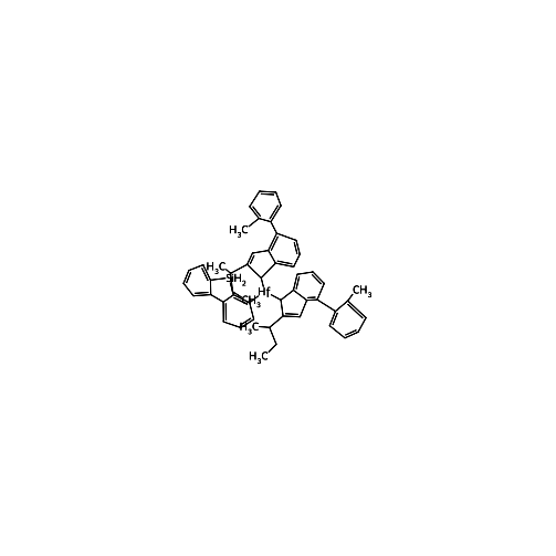 CCC(C)C1=Cc2c(-c3ccccc3C)cccc2[CH]1[Hf]([c]1cccc2c1[SiH2]c1ccccc1-2)[CH]1C(C(C)CC)=Cc2c(-c3ccccc3C)cccc21